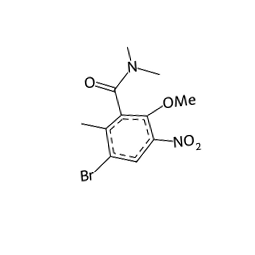 COc1c([N+](=O)[O-])cc(Br)c(C)c1C(=O)N(C)C